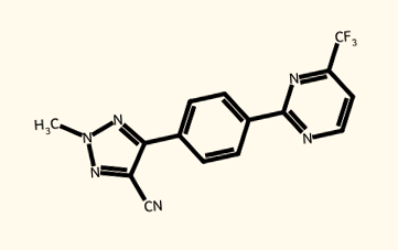 Cn1nc(C#N)c(-c2ccc(-c3nccc(C(F)(F)F)n3)cc2)n1